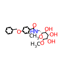 CO[C@H]1O[C@H](CNC(=O)c2ccc(OCc3ccccc3)cc2C)[C@@H](O)[C@H](O)[C@H]1O